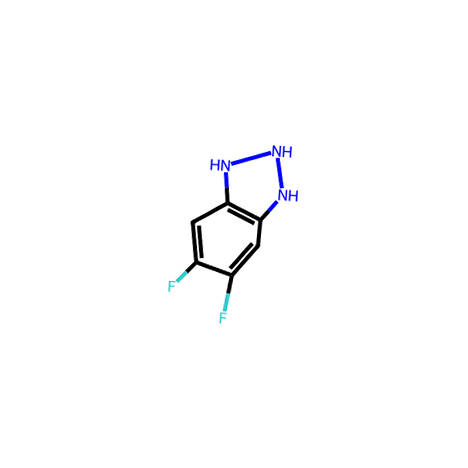 Fc1cc2c(cc1F)NNN2